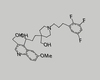 COc1ccc2ncc(CO)c([C@@H](O)CCC3(CO)CCN(CCCc4cc(F)cc(F)c4F)CC3)c2c1